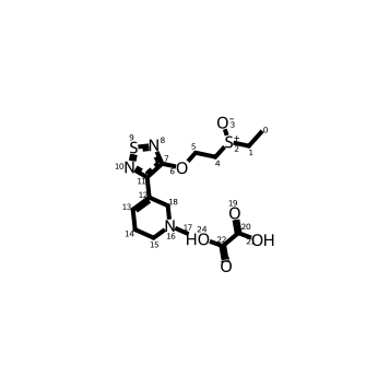 CC[S+]([O-])CCOc1nsnc1C1=CCCN(C)C1.O=C(O)C(=O)O